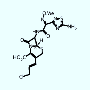 CON=C(C(=O)NC1C(=O)N2C(C(=O)O)=C(C=CCCl)CS[C@@H]12)c1nsc(N)n1